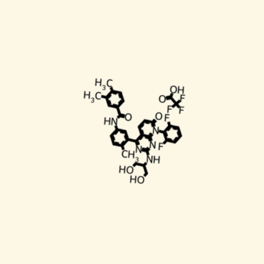 Cc1ccc(C(=O)Nc2ccc(C)c(-c3nc(NC(CO)CO)nc4c3ccc(=O)n4-c3c(F)cccc3F)c2)cc1C.O=C(O)C(F)(F)F